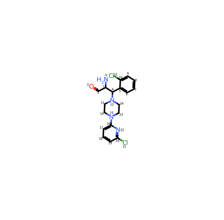 NC(C=O)C(c1ccccc1Cl)N1CCN(c2cccc(Cl)n2)CC1